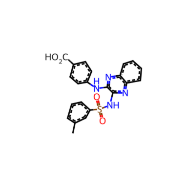 Cc1cccc(S(=O)(=O)Nc2nc3ccccc3nc2Nc2ccc(C(=O)O)cc2)c1